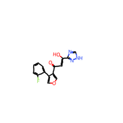 O=C(C=C(O)c1nc[nH]n1)c1cocc1-c1ccccc1F